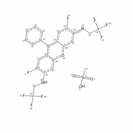 CS(=O)(=O)O.Fc1cc2c(-c3ccccc3)c3cc(F)c(=NCC(F)(F)F)cc-3oc2cc1NCC(F)(F)F